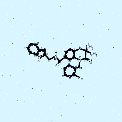 CC1(C)Sc2ccc(C(=O)NCc3cc4ccccc4o3)cc2N(Cc2ccccc2F)C1=O